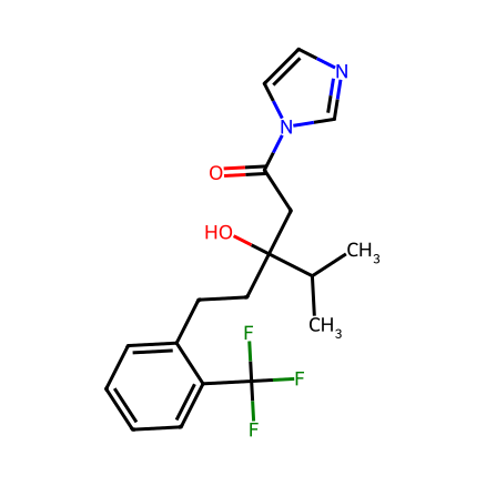 CC(C)C(O)(CCc1ccccc1C(F)(F)F)CC(=O)n1ccnc1